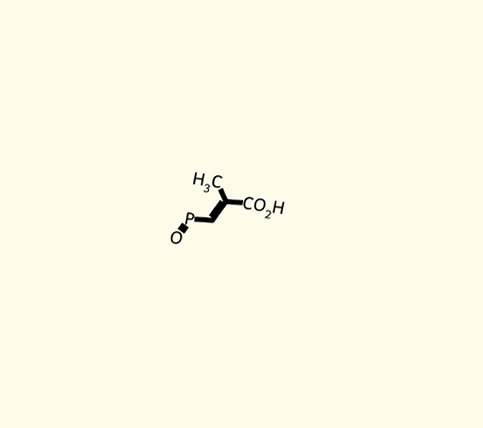 CC(=CP=O)C(=O)O